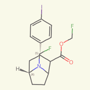 O=C(OCF)C1C2CC[C@H](C[C@@H]1c1ccc(I)cc1)N2CF